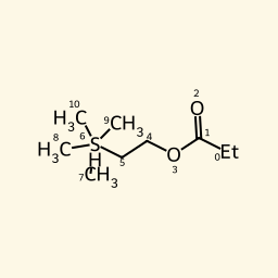 CCC(=O)OCC[SH](C)(C)(C)C